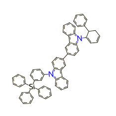 C1=CCC(c2ccccc2)C(n2c3ccccc3c3cc(-c4ccc5c(c4)c4ccccc4n5-c4cccc([Si](c5ccccc5)(c5ccccc5)c5ccccc5)c4)ccc32)=C1